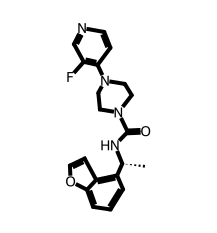 C[C@@H](NC(=O)N1CCN(c2ccncc2F)CC1)c1cccc2occc12